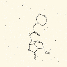 CC(=O)OC1C2CC3C(OC(=O)C31)C2OC(=O)CN1CCOCC1